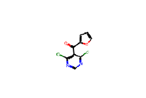 O=C(c1ccco1)c1c(Cl)ncnc1Cl